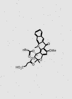 CCCCC(=O)O[C@@H]1c2c(cc(OC)c3c(=O)c4cc5ccccc5cc4n(C)c23)OC(C)(C)[C@@H]1OC(=O)CCC(=O)O